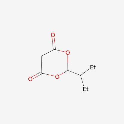 CCC(CC)C1OC(=O)CC(=O)O1